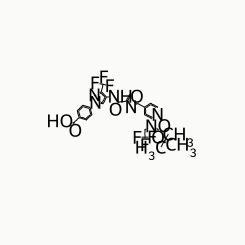 CC(C)(C)OC(=O)N(CC(F)(F)F)c1cc(-c2nc(C(=O)Nc3cn(-c4ccc(C(=O)O)cc4)nc3C(F)(F)F)co2)ccn1